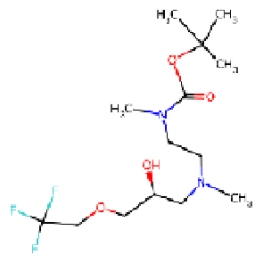 CN(CCN(C)C(=O)OC(C)(C)C)C[C@H](O)COCC(F)(F)F